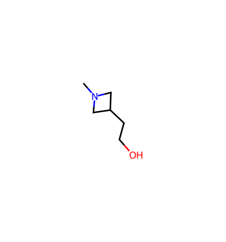 CN1CC(CCO)C1